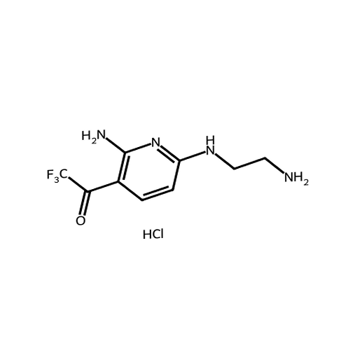 Cl.NCCNc1ccc(C(=O)C(F)(F)F)c(N)n1